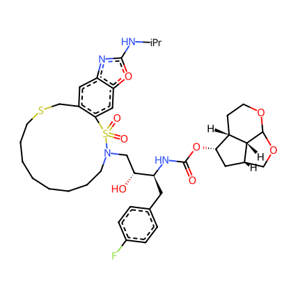 CC(C)Nc1nc2cc3c(cc2o1)S(=O)(=O)N(C[C@@H](O)[C@H](Cc1ccc(F)cc1)NC(=O)O[C@H]1C[C@H]2COC4OCC[C@@H]1[C@H]42)CCCCCCCCSC3